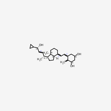 C=C1/C(=C\C=C2/CCC[C@@]3(C)[C@@H]2CC[C@H]3[C@H](C)/C=C/[C@@H](O)C2CC2)C[C@@H](O)C[C@H]1O